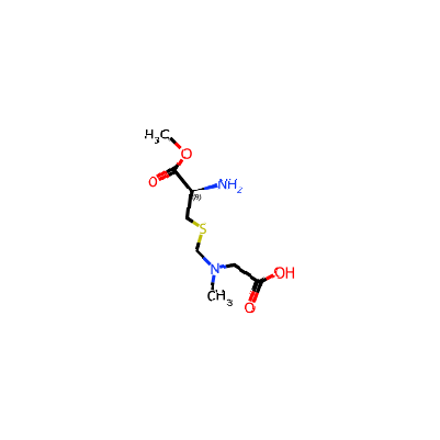 COC(=O)[C@@H](N)CSCN(C)CC(=O)O